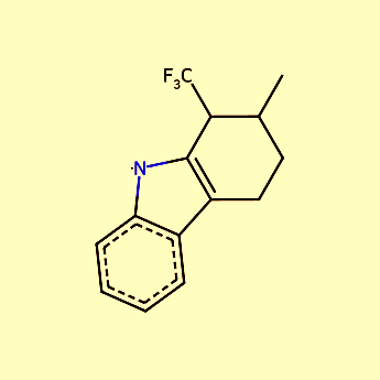 CC1CCC2=C([N]c3ccccc32)C1C(F)(F)F